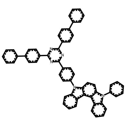 c1ccc(-c2ccc(-c3nc(-c4ccc(-c5ccccc5)cc4)nc(-c4ccc(-n5c6ccccc6c6c7c8ccccc8n(-c8ccccc8)c7ccc65)cc4)n3)cc2)cc1